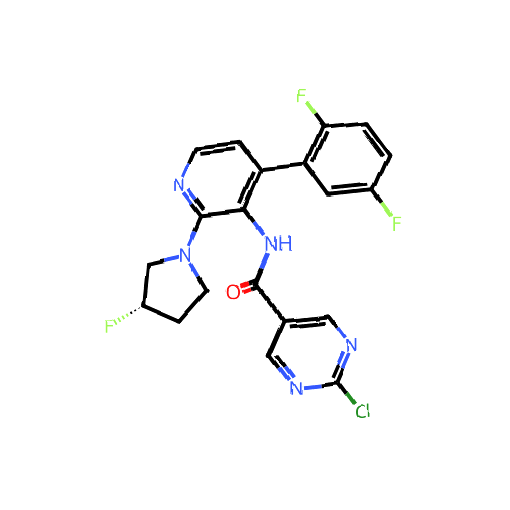 O=C(Nc1c(-c2cc(F)ccc2F)ccnc1N1CC[C@H](F)C1)c1cnc(Cl)nc1